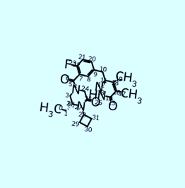 CC[C@@H]1CN(C(=O)c2cc(Cc3n[nH]c(=O)c(C)c3C)ccc2F)CC(=O)N1C1CCC1